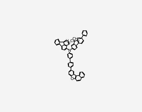 CC1(C)c2cc(-c3ccccc3)ccc2-c2ccc(N(c3ccc(-c4ccc(-c5ccc6oc7ccc8ccccc8c7c6c5)cc4)cc3)c3ccc4c5c(cccc35)-c3ccccc3-4)cc21